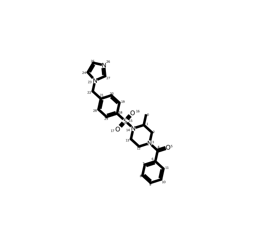 CC1CN(C(=O)c2ccccc2)CCN1S(=O)(=O)c1ccc(Cn2ccnc2)cc1